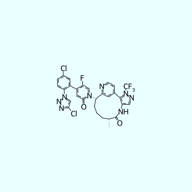 C[C@@H]1CCC[C@H](n2cc(F)c(-c3cc(Cl)ccc3-n3cc(Cl)nn3)cc2=O)c2cc(ccn2)-c2c(cnn2C(F)(F)F)NC1=O